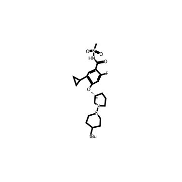 CC(C)(C)C1CCN(N2CCC[C@@H](Oc3cc(F)c(C(=O)NS(C)(=O)=O)cc3C3CC3)C2)CC1